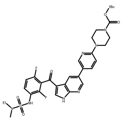 CCN(C)S(=O)(=O)Nc1ccc(F)c(C(=O)c2c[nH]c3ncc(-c4ccc(N5CCN(C(=O)OC(C)(C)C)CC5)nc4)cc23)c1F